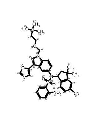 CC1(C)CC(N(c2ccc3c(c2)c(-c2cnco2)nn3COCC[Si](C)(C)C)S(=O)(=O)c2ccccc2[N+](=O)[O-])c2ccc(C#N)cc21